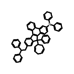 C1=CCC(C2(c3ccccc3)c3cc(CC(c4ccccc4)c4ccccc4)ccc3-c3c2c2ccc(N(C4=CCCC=C4)c4ccccc4)cc2c2ccccc32)C=CC1